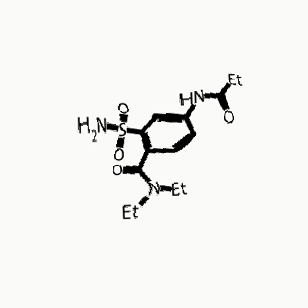 CCC(=O)Nc1ccc(C(=O)N(CC)CC)c(S(N)(=O)=O)c1